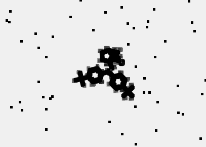 CC(C)(C)c1ccc([I+]c2ccc(C(C)(C)C)cc2)cc1.CC12CCC(CC1=O)C2(C)C